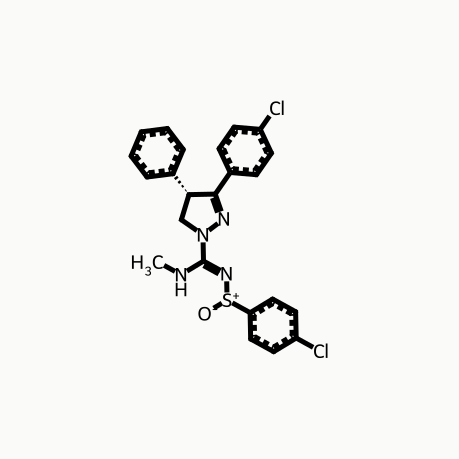 CN/C(=N\[S+]([O-])c1ccc(Cl)cc1)N1C[C@H](c2ccccc2)C(c2ccc(Cl)cc2)=N1